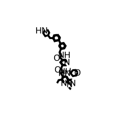 CCc1nc2c(cnn2CC)c(NC2CCOCC2)c1CNC(=O)c1cncc(C(=O)NCc2cccc(-c3cccc(CC4CCNCC4)c3)c2)c1